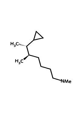 CNCCCC[C@@H](C)[C@H](C)C1CC1